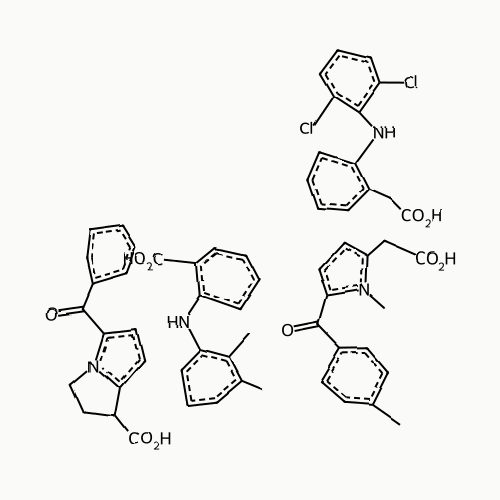 Cc1ccc(C(=O)c2ccc(CC(=O)O)n2C)cc1.Cc1cccc(Nc2ccccc2C(=O)O)c1C.O=C(O)Cc1ccccc1Nc1c(Cl)cccc1Cl.O=C(c1ccccc1)c1ccc2n1CCC2C(=O)O